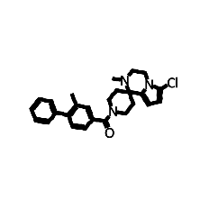 Cc1cc(C(=O)N2CCC3(CC2)c2ccc(Cl)n2CCN3C)ccc1-c1ccccc1